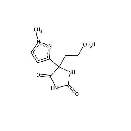 Cn1ccc(C2(CCC(=O)O)NC(=O)NC2=O)n1